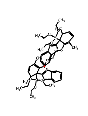 CCO[Si](OCC)(OCC)C1(c2nc3ccccc3s2)C(SSSSSC2=C(C)C=CC(C)C2(c2nc3ccccc3s2)[Si](OCC)(OCC)OCC)=C(C)C=CC1C